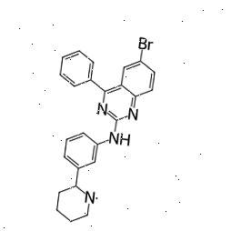 Brc1ccc2nc(Nc3cccc(C4CCCC[N]4)c3)nc(-c3ccccc3)c2c1